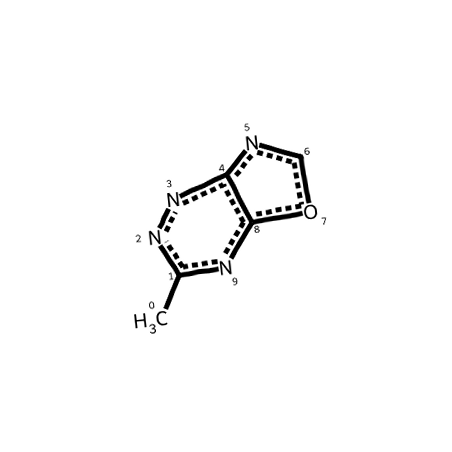 Cc1nnc2ncoc2n1